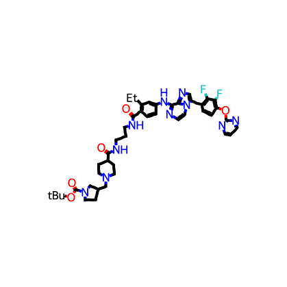 CCc1cc(Nc2nccn3c(-c4ccc(Oc5ncccn5)c(F)c4F)cnc23)ccc1C(=O)NCCCNC(=O)C1CCN(CC2CCN(C(=O)OC(C)(C)C)C2)CC1